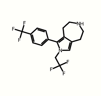 FC(F)(F)Cn1cc2c(c1-c1ccc(C(F)(F)F)cc1)CCNCC2